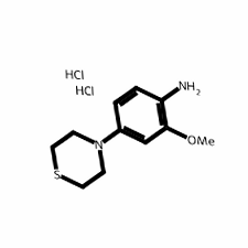 COc1cc(N2CCSCC2)ccc1N.Cl.Cl